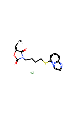 CC=C1OC(=O)N(CCCCSc2cccc3nccn23)C1=O.Cl